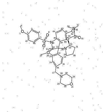 COc1ccc(S(=O)(=O)N2C(=O)C(c3ccc(CN4CCOCC4)cc3OC)(N3CCC[C@@H]3OC(=O)N(C)C)c3cc(Cl)ccc32)cc1